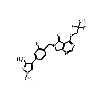 Cc1nn(C)cc1-c1ccc(CN2Cc3ncnc(OCC(C)(F)F)c3C2=O)c(F)c1